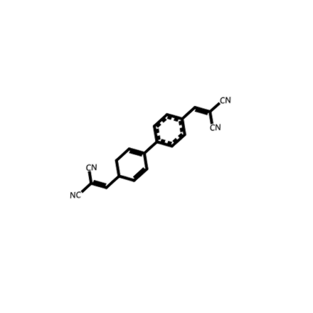 N#CC(C#N)=Cc1ccc(C2=CCC(C=C(C#N)C#N)C=C2)cc1